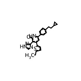 CCc1ccc(-c2cc(-c3ccc(CCC4CC4)cc3)[nH]c(=O)c2-c2nc[nH]n2)s1